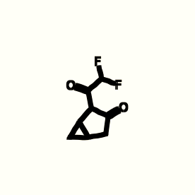 O=C1CC2CC2C1C(=O)C(F)F